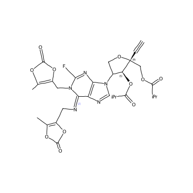 C#C[C@]1(COC(=O)C(C)C)OCC(n2cnc3/c(=N/Cc4oc(=O)oc4C)n(Cc4oc(=O)oc4C)c(F)nc32)[C@@H]1OC(=O)C(C)C